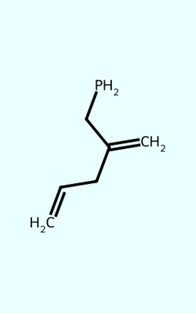 C=CCC(=C)CP